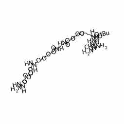 CC(C)(C)OC(=O)/N=C(\NCCCCc1ccc(OCCOCCOC(=O)NCCCCNC(=O)OCCOCCOCCOCCNC(=N)c2ccc3cc(OC(=O)c4ccc(NC(=N)N)cc4)ccc3c2)cc1)NC(=O)c1nc(Cl)c(N)nc1N